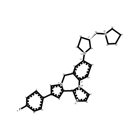 Fc1ccc(-c2cc3n(c2)Cc2cc(N4CC[C@H](CN5CCCC5)C4)ccc2-n2ccnc2-3)cc1